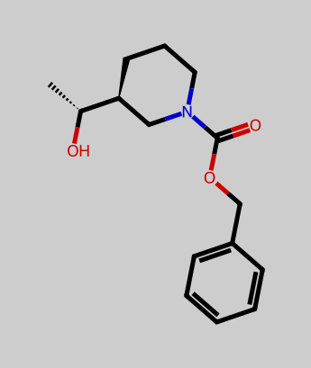 C[C@@H](O)[C@H]1CCCN(C(=O)OCc2ccccc2)C1